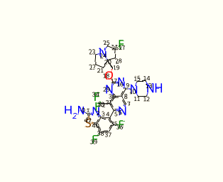 Nc1nc2c(-c3ncc4c(N5CCNCC5)nc(OC[C@@]56CCCN5C[C@H](F)C6)nc4c3C(F)F)c(F)cc(F)c2s1